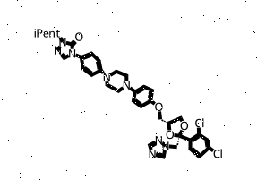 CCCC(C)n1ncn(-c2ccc(N3CCN(c4ccc(OC[C@@H]5CO[C@@](Cn6cncn6)(c6ccc(Cl)cc6Cl)O5)cc4)CC3)cc2)c1=O